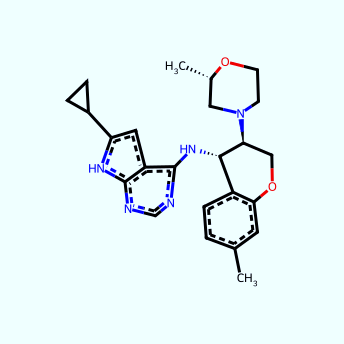 Cc1ccc2c(c1)OC[C@H](N1CCO[C@@H](C)C1)[C@H]2Nc1ncnc2[nH]c(C3CC3)cc12